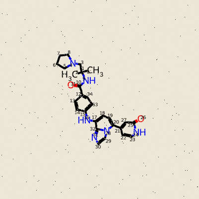 CC(C)(CN1CCCC1)NC(=O)c1ccc(Nc2ccc(-c3cc[nH]c(=O)c3)n3ccnc23)cc1